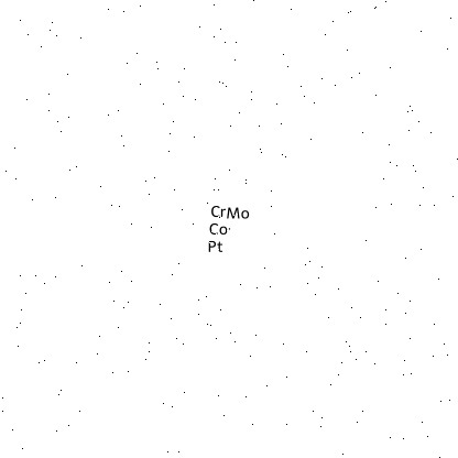 [Co].[Cr].[Mo].[Pt]